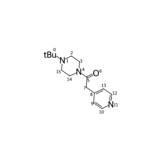 CC(C)(C)N1CCN(C(=O)Cc2ccncc2)CC1